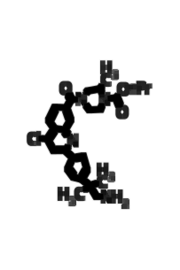 CCCOC(=O)N1CCN(C(=O)c2ccc3c(Cl)cc(-c4ccc(C(C)(C)CN)cc4)nc3c2)CC1C